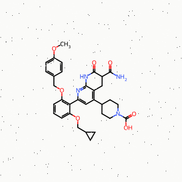 COc1ccc(COc2cccc(OCC3CC3)c2-c2cc(C3CCN(C(=O)O)CC3)c3c(n2)NC(=O)C(C(N)=O)C3)cc1